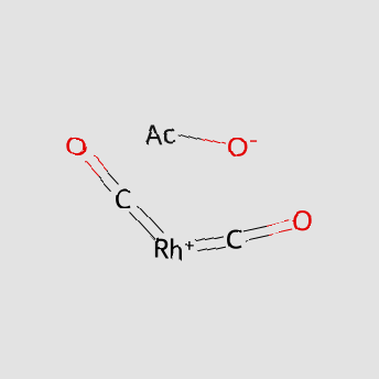 CC(=O)[O-].O=[C]=[Rh+]=[C]=O